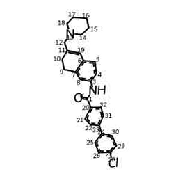 O=C(Nc1ccc2c(c1)CCC(CN1CCCCC1)=C2)c1ccc(-c2ccc(Cl)cc2)cc1